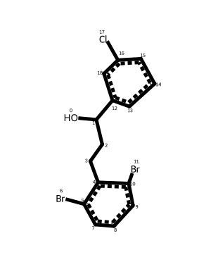 OC(CCc1c(Br)cccc1Br)c1cccc(Cl)c1